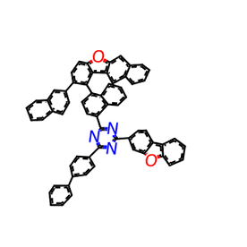 c1ccc(-c2ccc(-c3nc(-c4ccc5c(c4)oc4ccccc45)nc(-c4ccc(-c5c(-c6ccc7ccccc7c6)ccc6oc7cc8ccccc8cc7c56)c5ccccc45)n3)cc2)cc1